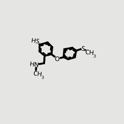 CNCc1cc(S)ccc1Oc1ccc(SC)cc1